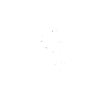 OC[C@H]1OC(c2cc(Cc3nc4ccccc4o3)ccc2O)[C@H](O)[C@@H](O)[C@@H]1O